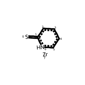 S=c1cccc[nH]1.[Zr]